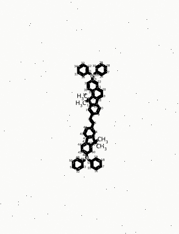 CC1(C)c2cc(/C=C/c3ccc4c(c3)C(C)(C)c3c-4ccc4cc(N(c5ccccc5)c5ccccc5)ccc34)ccc2-c2ccc(N(c3ccccc3)c3ccccc3)cc21